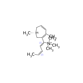 C/C=C\C=C(\C1=C(C)C=CC[C@@H](C)C1)[N+](C)(C)C